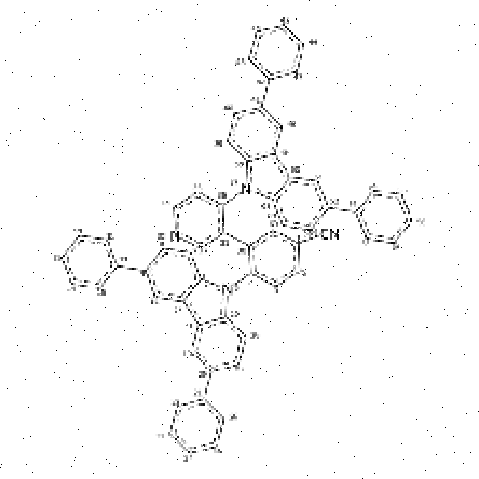 N#Cc1ccc(-n2c3ccc(-c4ccccc4)cc3c3cc(-c4ccccc4)ccc32)c(-c2cnccc2-n2c3ccc(-c4ccccc4)cc3c3cc(-c4ccccc4)ccc32)c1